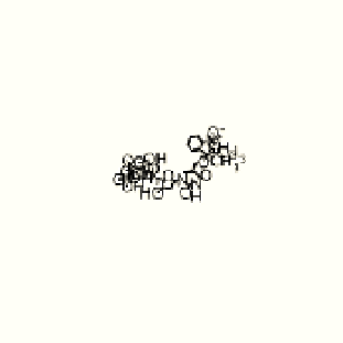 CC(C)(C)[C@@H](OCc1cn([C@H]2CC(O)[C@@H](COP(=O)(O)OP(=O)(O)OP(=O)(O)O)O2)c(=O)[nH]c1=O)c1ccccc1[N+](=O)[O-]